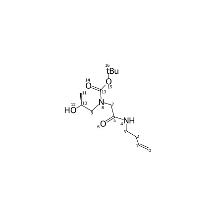 C=CCCNC(=O)CN(C[C@H](C)O)C(=O)OC(C)(C)C